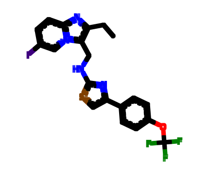 CCc1nc2ccc(I)cn2c1CNc1nc(-c2ccc(OC(F)(F)F)cc2)cs1